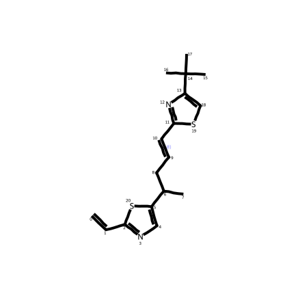 C=Cc1ncc(C(C)C/C=C/c2nc(C(C)(C)C)cs2)s1